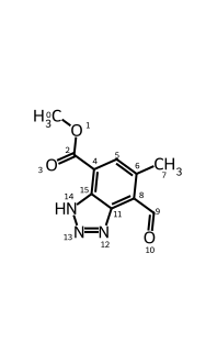 COC(=O)c1cc(C)c(C=O)c2nn[nH]c12